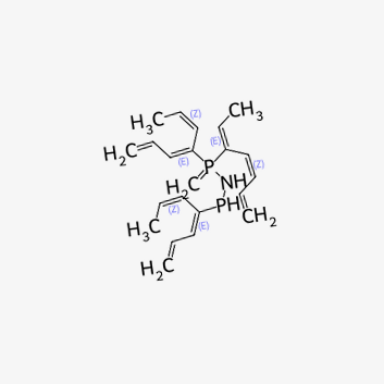 C=C/C=C\C(=C/C)P(=C)(NPC(/C=C\C)=C/C=C)C(/C=C\C)=C/C=C